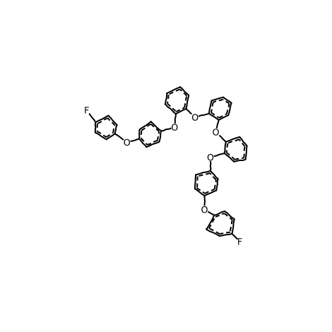 Fc1ccc(Oc2ccc(Oc3ccccc3Oc3ccccc3Oc3ccccc3Oc3ccc(Oc4ccc(F)cc4)cc3)cc2)cc1